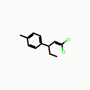 CCC(C=C(Cl)Cl)c1ccc(C)cc1